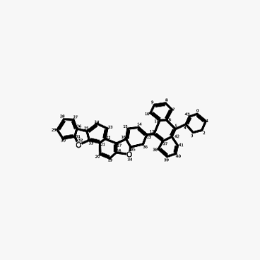 C1=CCCC(c2c3ccccc3c(C3=CC=C4c5c(ccc6c5ccc5c7ccccc7oc65)OC4C3)c3ccccc23)=C1